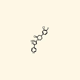 O=C1CC(c2ccc(F)c(Cl)c2)CCN1c1cc(-c2ccncc2)n[nH]1